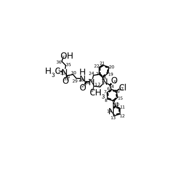 C[C@@H]1CN(C(=O)c2ccc(-n3cccn3)cc2Cl)c2ccccc2CN1C(=O)NCCC(=O)N(C)CCO